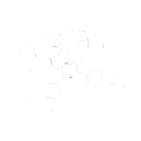 CCC1(CC2=Cc3c(-c4ccc([Si](C)(C)C)cc4)cccc3[CH]2[Zr]([Cl])([Cl])([CH]2C(CC3(CC)CCCCC3)=Cc3c(-c4ccc([Si](C)(C)C)cc4)cccc32)[SiH](C)C)CCCCC1